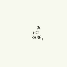 Cl.N.[KH].[Zn]